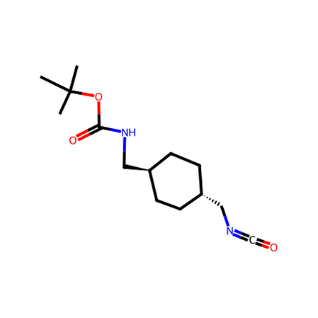 CC(C)(C)OC(=O)NC[C@H]1CC[C@H](CN=C=O)CC1